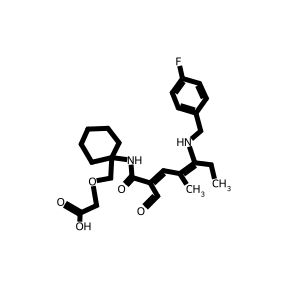 CC/C(NCc1ccc(F)cc1)=C(C)/C=C(\C=O)C(=O)NC1(COCC(=O)O)CCCCC1